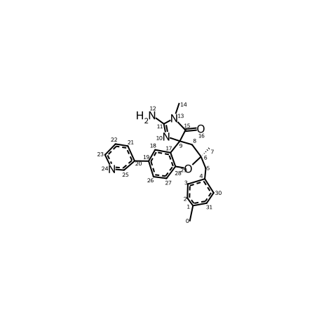 Cc1ccc(C[C@]2(C)CC3(N=C(N)N(C)C3=O)c3cc(-c4cccnc4)ccc3O2)cc1